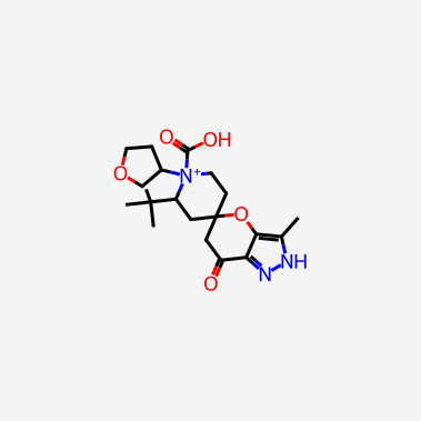 Cc1[nH]nc2c1OC1(CC[N+](C(=O)O)(C3CCOC3)C(C(C)(C)C)C1)CC2=O